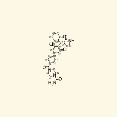 NC(=O)N1CCN(C(=O)c2ccc(-c3cc(Cl)c(C(C4CCCCC4)C4CCNC4=O)c(Cl)c3)cc2)CC1